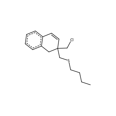 CCCCSCC1(CCl)C=Cc2ccccc2C1